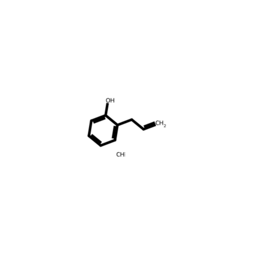 C=CCc1ccccc1O.[CH]